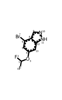 FC(F)Oc1cc(Br)c2cn[nH]c2c1